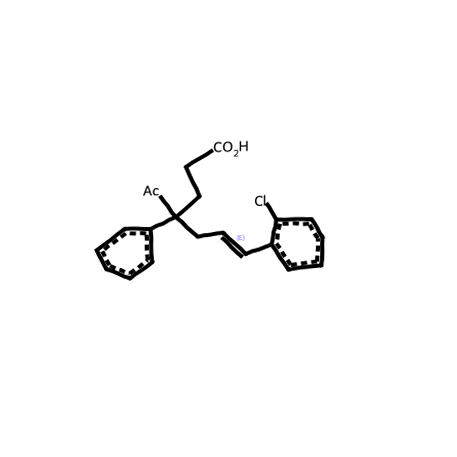 CC(=O)C(C/C=C/c1ccccc1Cl)(CCC(=O)O)c1ccccc1